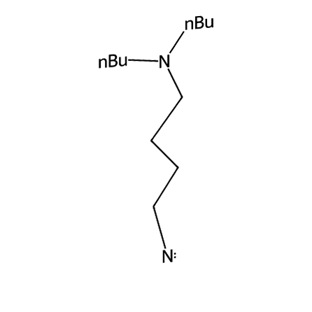 CCCCN(CCCC)CCCC[N]